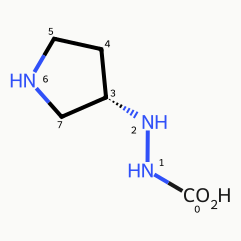 O=C(O)NN[C@H]1CCNC1